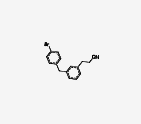 OCCc1cccc(Cc2ccc(Br)cc2)c1